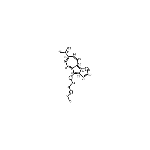 CCOCCOc1c2ccc(C(C)C)ccc-2c2occc12